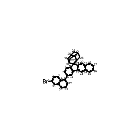 Brc1ccc2c(-c3ccc4c(c3)-c3cc5ccccc5cc3C43C4CC5CC(C4)CC3C5)cccc2c1